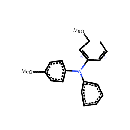 C/C=C\C(=C/COC)N(c1ccccc1)c1ccc(OC)cc1